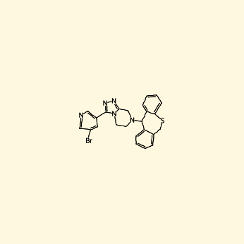 Brc1cncc(-c2nnc3n2CCN(C2c4ccccc4CSc4ccccc42)C3)c1